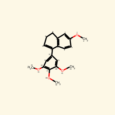 COc1ccc2c(c1)CCC=C2c1cc(OC)c(OC)c(OC)c1